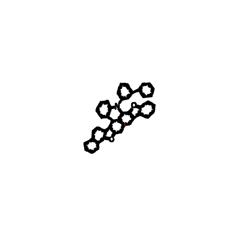 c1ccc(-c2cccc(N(c3ccccc3-c3cccc4oc5c6ccccc6ccc5c34)c3cccc4c3oc3ccccc34)c2)cc1